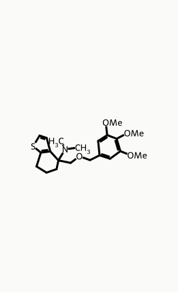 COc1cc(COCC2(N(C)C)CCCc3sccc32)cc(OC)c1OC